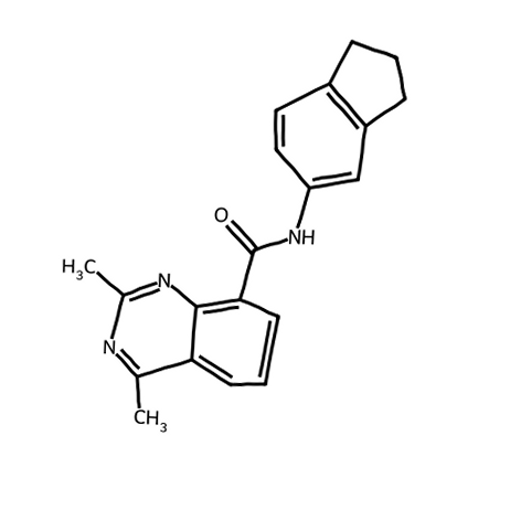 Cc1nc(C)c2cccc(C(=O)Nc3ccc4c(c3)CCC4)c2n1